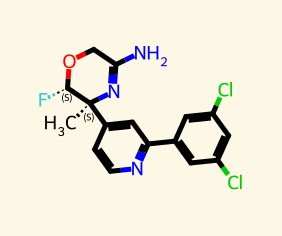 C[C@@]1(c2ccnc(-c3cc(Cl)cc(Cl)c3)c2)N=C(N)CO[C@H]1F